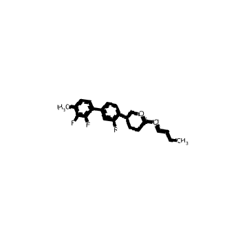 CCCCOC1CCC(c2ccc(-c3ccc(C)c(F)c3F)cc2F)CO1